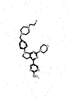 Nc1ncc(-c2nc(N3CCOCC3)nc3c2CCN3c2ccc(CN3CCN(CCF)CC3)cc2)cn1